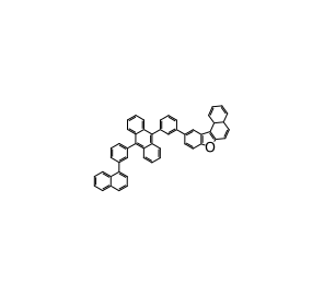 C1=CC2C=Cc3oc4ccc(-c5cccc(-c6c7ccccc7c(-c7cccc(-c8cccc9ccccc89)c7)c7ccccc67)c5)cc4c3C2C=C1